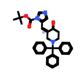 CC(C)(C)OC(=O)n1cncc1/C=C1/CN(C(c2ccccc2)(c2ccccc2)c2ccccc2)CCC1=O